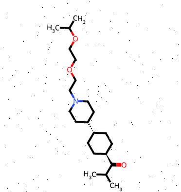 CC(C)OCCOCCN1CCC([C@H]2CC[C@H](C(=O)C(C)C)CC2)CC1